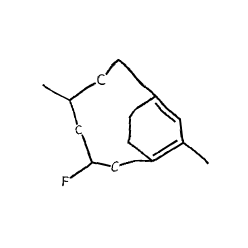 CC1=C2CCC(=C1)CCC(C)CC(F)C2